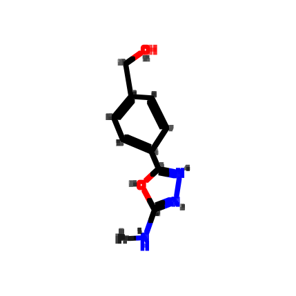 CC(C)Nc1nnc(-c2ccc(CO)cc2)o1